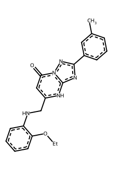 CCOc1ccccc1NCc1cc(=O)n2nc(-c3cccc(C)c3)nc2[nH]1